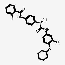 O=C(Nc1ccc(N(S)C(=O)Nc2ccc(SC3CCCCC3)c(Cl)c2)cc1)c1ccccc1F